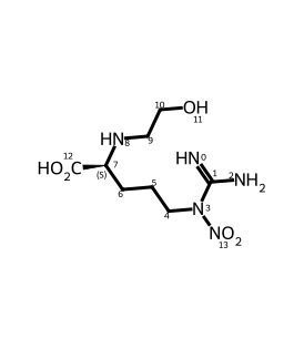 N=C(N)N(CCC[C@H](NCCO)C(=O)O)[N+](=O)[O-]